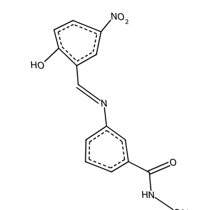 CONC(=O)c1cccc(/N=C/c2cc([N+](=O)[O-])ccc2O)c1